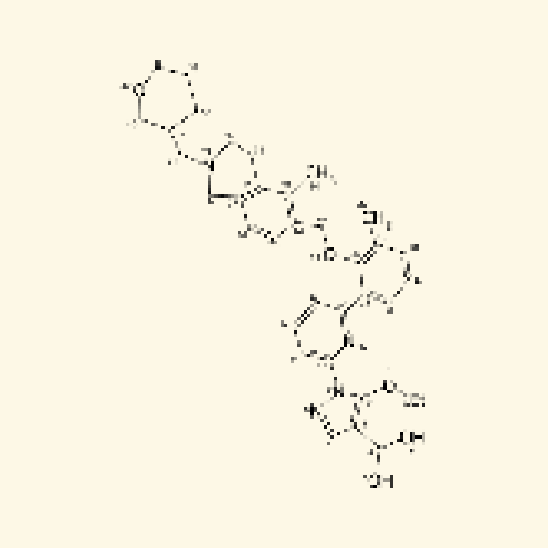 CCOc1c(C(O)O)cnn1-c1cccc(-c2cccc(C)c2OCc2ccc3c(c2C)CCN(CC2CCCOC2)C3)n1